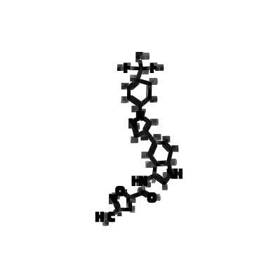 Cc1cc(C(=O)Nc2c[nH]c3ccc(-c4cnn(-c5ccc(C(F)(F)F)cc5)c4)cc23)on1